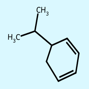 CC(C)C1C=CC=CC1